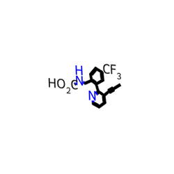 CC#Cc1cccnc1-c1cc(C(F)(F)F)ccc1CNC(=O)O